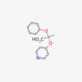 CC(Oc1ccccc1)(Oc1ccncc1)C(=O)O